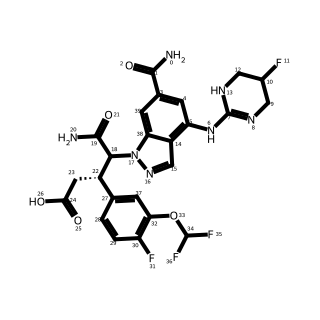 NC(=O)c1cc(NC2=NCC(F)CN2)c2cnn(C(C(N)=O)[C@@H](CC(=O)O)c3ccc(F)c(OC(F)F)c3)c2c1